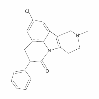 CN1CCc2c(c3cc(Cl)cc4c3n2C(=O)C(c2ccccc2)C4)C1